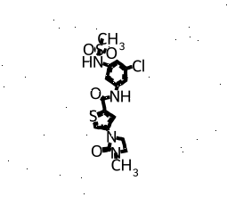 CN1CCN(c2csc(C(=O)Nc3cc(Cl)cc(NS(C)(=O)=O)c3)c2)C1=O